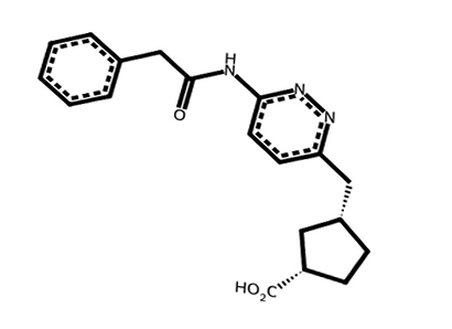 O=C(Cc1ccccc1)Nc1ccc(C[C@@H]2CC[C@H](C(=O)O)C2)nn1